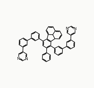 C1=CC2=CC=CC3c4c(c(-c5cccc(-c6cccc(-c7cncnc7)c6)c5)cc(-c5ccccc5)c4-c4cccc(-c5cccc(-c6cncnc6)c5)c4)C(=C1)C23